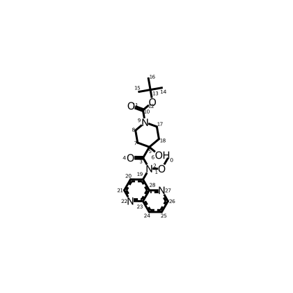 CON(C(=O)C1(O)CCN(C(=O)OC(C)(C)C)CC1)c1ccnc2cccnc12